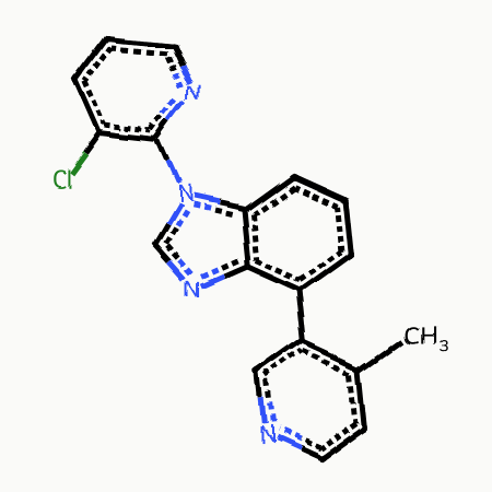 Cc1ccncc1-c1cccc2c1ncn2-c1ncccc1Cl